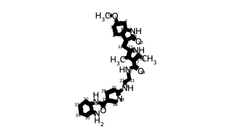 COc1ccc2c(c1)NC(=O)/C2=C\c1[nH]c(C)c(C(=O)NCCNc2ccc(C(=O)Nc3ccccc3N)cn2)c1C